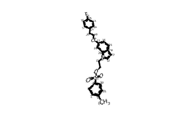 Cc1ccc(S(=O)(=O)OCCn2ccc3ccc(OCCc4ccc(F)cc4)cc32)cc1